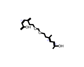 C=C(O)/C=C\C(=C)CCOCOCC/C(C)=C/C=C(\C)O